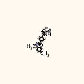 Cc1ccc(/S(C)=N\C(=O)c2ccc(C3=NOC(C(F)(F)F)N3)cc2)cc1